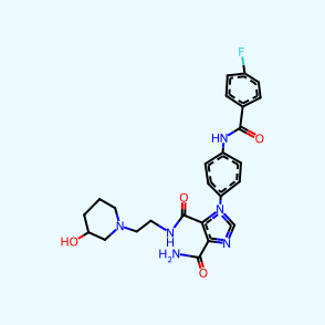 NC(=O)c1ncn(-c2ccc(NC(=O)c3ccc(F)cc3)cc2)c1C(=O)NCCN1CCCC(O)C1